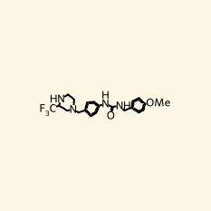 COc1ccc(CNC(=O)Nc2ccc(CN3CCNC(C(F)(F)F)C3)cc2)cc1